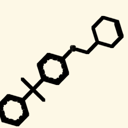 CC(C)(c1ccccc1)c1ccc(OCC2CC=CCC2)cc1